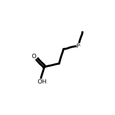 C[P]CCC(=O)O